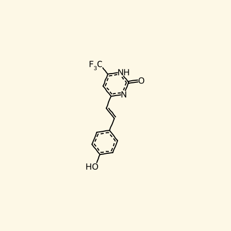 O=c1nc(/C=C/c2ccc(O)cc2)cc(C(F)(F)F)[nH]1